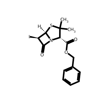 CC1(C)S[C@@H]2[C@H](I)C(=O)N2[C@H]1C(=O)OCc1ccccc1